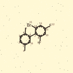 Cc1ccc(C)c(-c2c(F)cc(F)cc2Br)c1